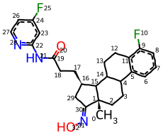 C[C@]12CCC3c4cccc(F)c4CCC3C1[C@H](CCC(=O)Nc1cc(F)ccn1)C/C2=N\O